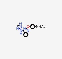 CC(=O)Nc1ccc(Oc2nc(Nc3ncc(C)[nH]3)c3ccccc3n2)cc1